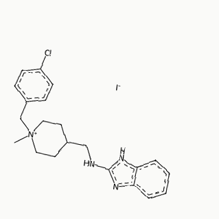 C[N+]1(Cc2ccc(Cl)cc2)CCC(CNc2nc3ccccc3[nH]2)CC1.[I-]